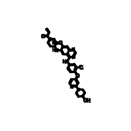 C=CC(=O)N1CCC(Nc2cc3c(Nc4ccc(Oc5ccnc(N6CCC(O)CC6)c5)c(Cl)c4)ncnc3cc2OC)CC1